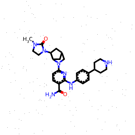 CN1CCN(C2CC3CC2N(c2ccc(C(N)=O)c(Nc4ccc(C5CCNCC5)cc4)n2)C3)C1=O